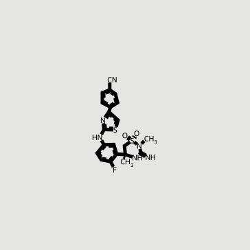 CN1C(=N)N[C@](C)(c2cc(Nc3nc(-c4ccc(C#N)cc4)cs3)ccc2F)CS1(=O)=O